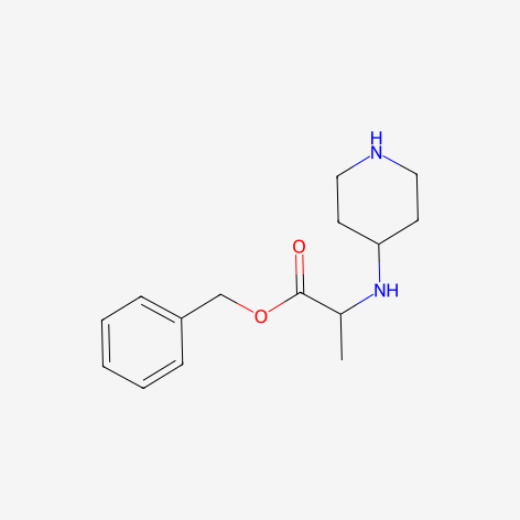 CC(NC1CCNCC1)C(=O)OCc1ccccc1